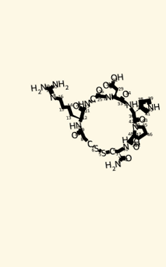 NC(=O)[C@@H]1CSSCCC(=O)N[C@@H](CCCCN=C(N)N)C(=O)NCC(=O)N[C@@H](CC(=O)O)C(=O)N[C@H](c2cc[nH]c2)C(=O)N2CCC[C@H]2C(=O)N1